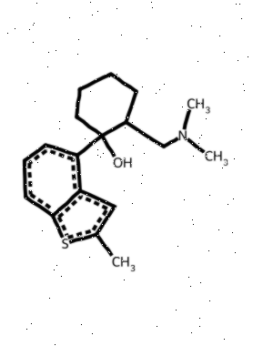 Cc1cc2c(C3(O)CCCCC3CN(C)C)cccc2s1